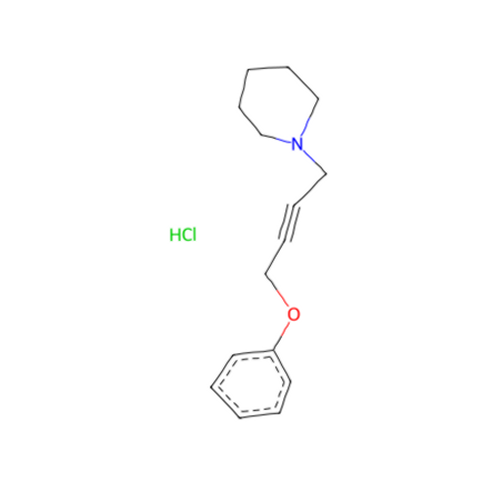 C(#CCN1CCCCC1)COc1ccccc1.Cl